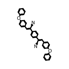 N#C/C(=C\c1ccc(Oc2ccccc2)cc1)c1ccc(/C(C#N)=C/c2ccc(Oc3ccccc3)cc2)cc1